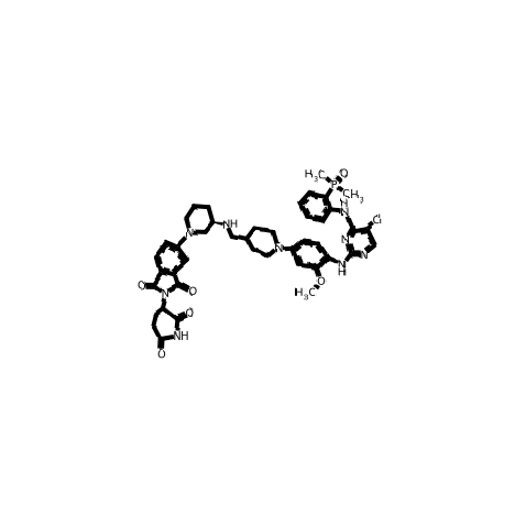 COc1cc(N2CCC(CN[C@@H]3CCCN(c4ccc5c(c4)C(=O)N(C4CCC(=O)NC4=O)C5=O)C3)CC2)ccc1Nc1ncc(Cl)c(Nc2ccccc2P(C)(C)=O)n1